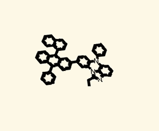 CCc1nc2cccc3c2n1-c1cc(-c2ccc4c(-c5ccccc5)c5ccccc5c(-c5cccc6ccccc56)c4c2)ccc1N3c1ccccc1